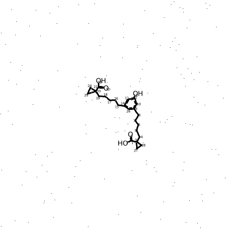 O=C(O)C1(CCCCCc2cc(O)cc(CCCCCC3(C(=O)O)CC3)c2)CC1